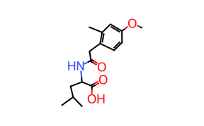 COc1ccc(CC(=O)NC(CC(C)C)C(=O)O)c(C)c1